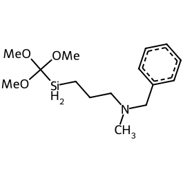 COC(OC)(OC)[SiH2]CCCN(C)Cc1ccccc1